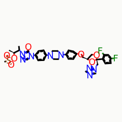 CC([C@H](C)OS(C)(=O)=O)n1ncn(-c2ccc(N3CCN(c4ccc(OC[C@H]5CO[C@](Cn6cncn6)(c6ccc(F)cc6F)O5)cc4)CC3)cc2)c1=O